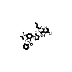 CCCc1nc(N[C@H]2CCN([C@H]3CC[C@@H](N(C)C(C)C)C[C@@H]3CS(=O)(=O)c3ccccc3)C2=O)c2cc(Cl)cnc2n1